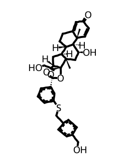 C[C@]12C=CC(=O)C=C1CC[C@@H]1[C@@H]2[C@@H](O)C[C@@]2(C)[C@H]1C[C@H]1O[C@@H](c3cccc(SCc4ccc(CO)cc4)c3)O[C@]12C(=O)CO